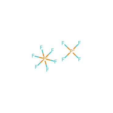 F[P+](F)(F)F.F[P-](F)(F)(F)(F)F